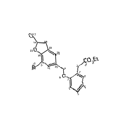 CCOC(=O)Cc1ccccc1OCc1cc(Br)c2oc(Cl)cc2c1